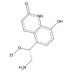 CCO[C@@H](CN)c1ccc(O)c2[nH]c(=O)ccc12